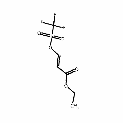 CCOC(=O)/C=C/OS(=O)(=O)C(F)(F)F